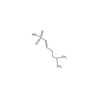 CC(C)CCC=CS(=O)(=O)O